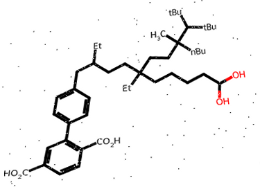 CCCCC(C)(CCC(CC)(CCCCC(O)O)CCC(CC)Cc1ccc(-c2cc(C(=O)O)ccc2C(=O)O)cc1)C(C(C)(C)C)C(C)(C)C